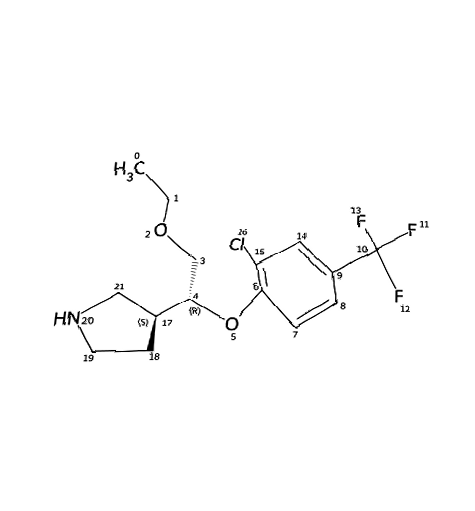 CCOC[C@H](Oc1ccc(C(F)(F)F)cc1Cl)[C@H]1CCNC1